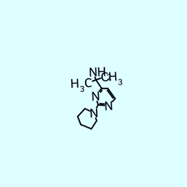 CC(C)(N)c1ccnc(N2CCCCC2)n1